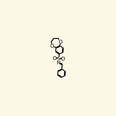 O=S(=O)(/N=C/c1ccccc1)c1ccc2c(c1)OCCCO2